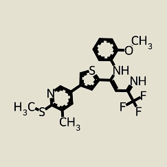 COc1ccccc1N/C(=C\C(=N)C(F)(F)F)c1cc(-c2cnc(SC)c(C)c2)cs1